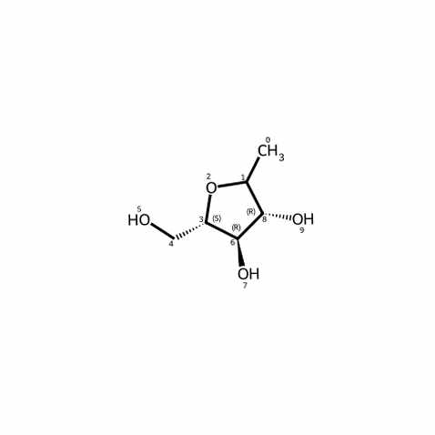 CC1O[C@@H](CO)[C@H](O)[C@H]1O